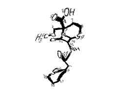 COCC1(C(=O)O)CCSC2C(NC(=O)Cc3cccs3)C(=O)N21